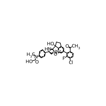 CC(=O)c1ccc(Cl)c(F)c1-c1cc2c([n+]([O-])c1)C(O)(c1ncc(-c3ccc(N(C)C(=O)O)cc3)[nH]1)CC2